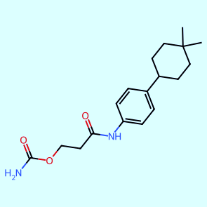 CC1(C)CCC(c2ccc(NC(=O)CCOC(N)=O)cc2)CC1